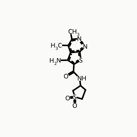 Cc1nnc2sc(C(=O)NC3CCS(=O)(=O)C3)c(N)c2c1C